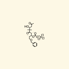 CC(=O)C[C@H](O)C(C)(C)C(=O)[C@H](C)[C@@H](OC(=O)OCC(Cl)(Cl)Cl)[C@@H](C)COCc1ccccc1